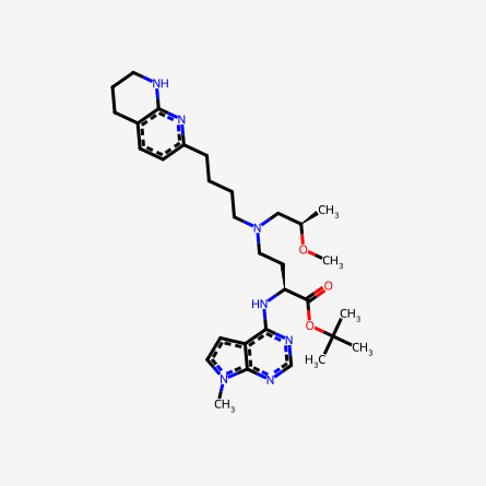 CO[C@H](C)CN(CCCCc1ccc2c(n1)NCCC2)CC[C@H](Nc1ncnc2c1ccn2C)C(=O)OC(C)(C)C